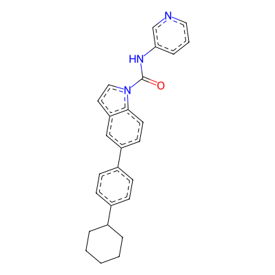 O=C(Nc1cccnc1)n1ccc2cc(-c3ccc(C4CCCCC4)cc3)ccc21